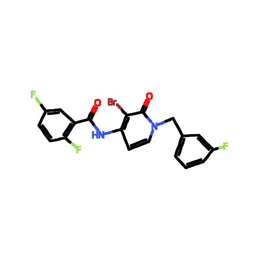 O=C(Nc1ccn(Cc2cccc(F)c2)c(=O)c1Br)c1cc(F)ccc1F